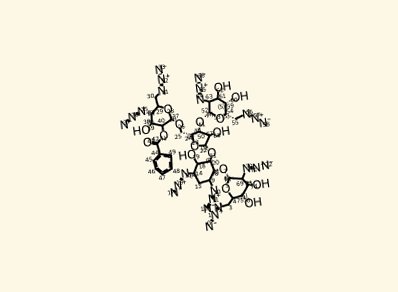 [N-]=[N+]=NCC1O[C@H](O[C@@H]2C(N=[N+]=[N-])C[C@@H](N=[N+]=[N-])C(O)[C@H]2O[C@@H]2O[C@H](CO[C@H]3OC(CN=[N+]=[N-])[C@@H](N=[N+]=[N-])[C@H](O)C3OC(=O)c3ccccc3)[C@H](O[C@H]3O[C@@H](CN=[N+]=[N-])[C@@H](O)C(O)C3N=[N+]=[N-])C2O)C(N=[N+]=[N-])[C@@H](O)[C@@H]1O